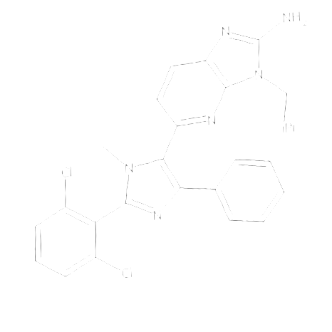 CC(C)Cn1c(N)nc2ccc(-c3c(-c4ccccc4)nc(-c4c(Cl)cccc4Cl)n3C)nc21